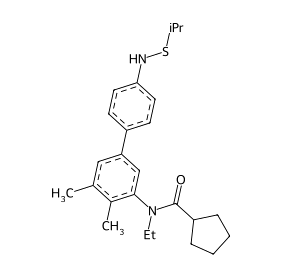 CCN(C(=O)C1CCCC1)c1cc(-c2ccc(NSC(C)C)cc2)cc(C)c1C